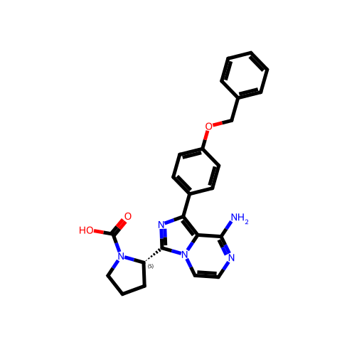 Nc1nccn2c([C@@H]3CCCN3C(=O)O)nc(-c3ccc(OCc4ccccc4)cc3)c12